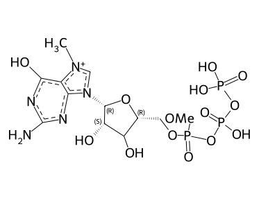 COP(=O)(OC[C@H]1O[C@@H](n2c[n+](C)c3c(O)nc(N)nc32)[C@@H](O)C1O)OP(=O)(O)OP(=O)(O)O